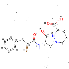 O=C(N[C@H]1CN2CCC[C@@H](C(=O)O)N2C1=O)C(=S)Cc1ccccc1